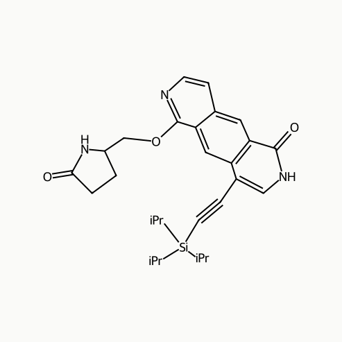 CC(C)[Si](C#Cc1c[nH]c(=O)c2cc3ccnc(OCC4CCC(=O)N4)c3cc12)(C(C)C)C(C)C